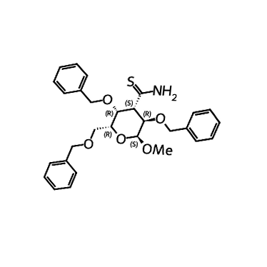 CO[C@H]1O[C@H](COCc2ccccc2)[C@H](OCc2ccccc2)[C@H](C(N)=S)[C@H]1OCc1ccccc1